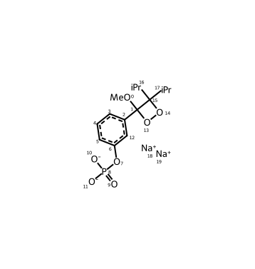 COC1(c2cccc(OP(=O)([O-])[O-])c2)OOC1(C(C)C)C(C)C.[Na+].[Na+]